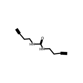 C#CCCNC(=O)NCCC#C